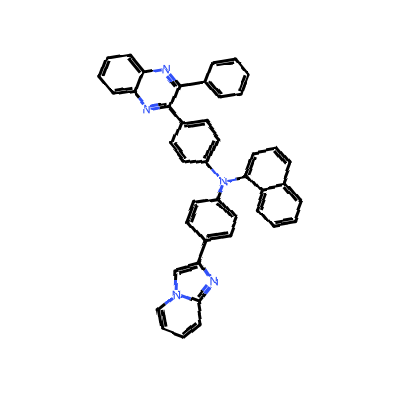 c1ccc(-c2nc3ccccc3nc2-c2ccc(N(c3ccc(-c4cn5ccccc5n4)cc3)c3cccc4ccccc34)cc2)cc1